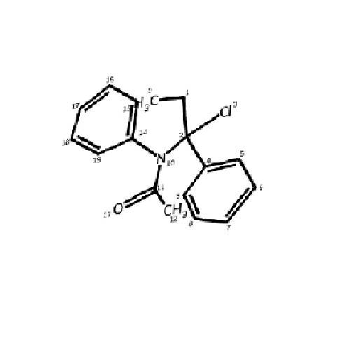 CCC(Cl)(c1ccccc1)N(C(C)=O)c1ccccc1